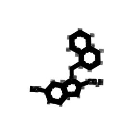 N#Cc1ccc2cc(C(=O)O)n(Cc3cccc4ccccc34)c2c1